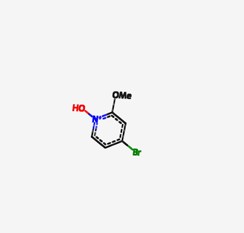 COc1cc(Br)cc[n+]1O